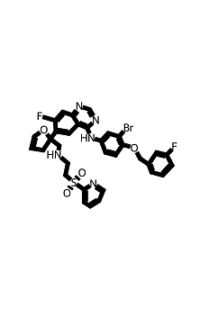 O=S(=O)(CCNCC1(c2cc3c(Nc4ccc(OCc5cccc(F)c5)c(Br)c4)ncnc3cc2F)CC=CO1)c1ccccn1